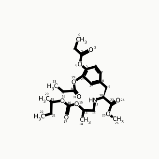 CCC(=O)Oc1ccc(C[C@H](NCC(C)OC(=O)OC(C)CC)C(=O)OC)cc1OC(=O)CC